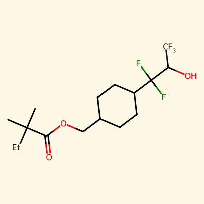 CCC(C)(C)C(=O)OCC1CCC(C(F)(F)C(O)C(F)(F)F)CC1